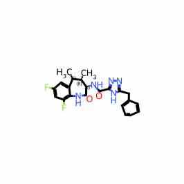 C[C@@H]1[C@H](C)c2cc(F)cc(F)c2NC(=O)[C@@H]1NC(=O)c1nnc(Cc2ccccc2)[nH]1